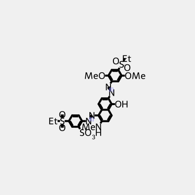 CCS(=O)(=O)c1ccc(/N=N/c2c(NC)ccc3c(O)c(/N=N/c4cc(OC)c(S(=O)(=O)CC)cc4OC)ccc23)c(S(=O)(=O)O)c1